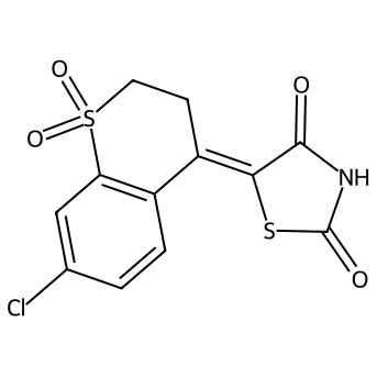 O=C1NC(=O)C(=C2CCS(=O)(=O)c3cc(Cl)ccc32)S1